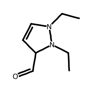 CCN1C=CC(C=O)N1CC